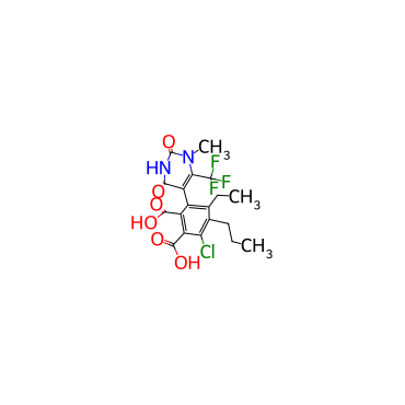 CCCc1c(Cl)c(C(=O)O)c(C(=O)O)c(-c2c(C(F)(F)F)n(C)c(=O)[nH]c2=O)c1CC